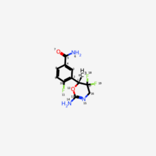 C[C@]1(c2cc(C(N)=O)ccc2F)OC(N)=NCC1(F)F